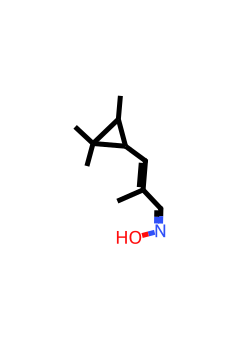 CC(/C=N\O)=C\C1C(C)C1(C)C